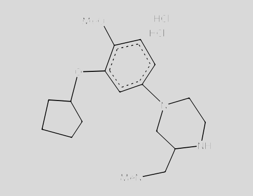 CNCC1CN(c2ccc(OC)c(OC3CCCC3)c2)CCN1.Cl.Cl